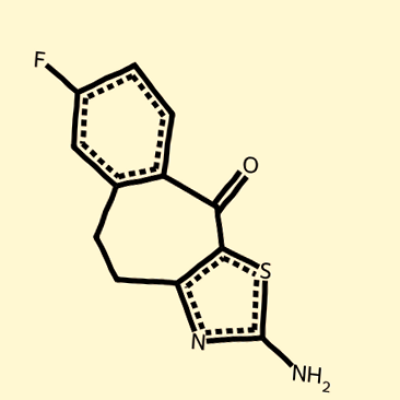 Nc1nc2c(s1)C(=O)c1ccc(F)cc1CC2